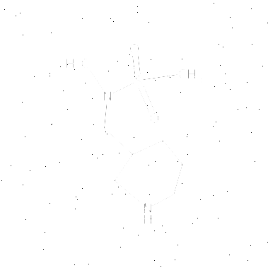 CN(CC1CCCNC1)S(C)(=O)=O